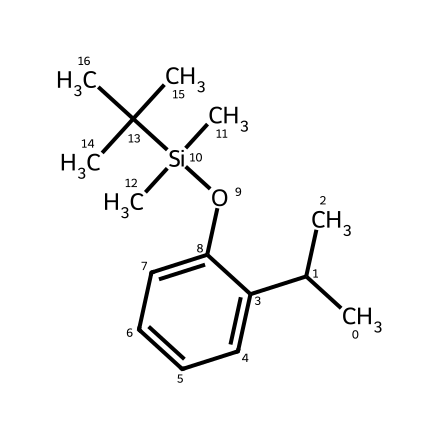 CC(C)c1ccccc1O[Si](C)(C)C(C)(C)C